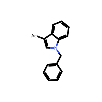 CC(=O)c1cn(Cc2ccccc2)c2c[c]ccc12